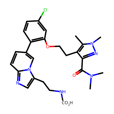 Cc1c(CCOc2cc(Cl)ccc2-c2ccc3ncc(CCNC(=O)O)n3c2)c(C(=O)N(C)C)nn1C